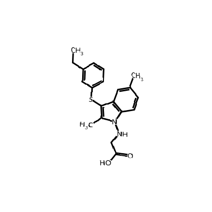 CCc1cccc(Sc2c(C)n(NCC(=O)O)c3ccc(C)cc23)c1